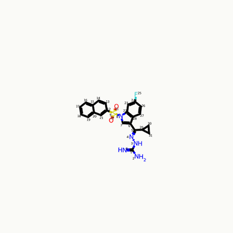 N=C(N)N/N=C(/c1cn(S(=O)(=O)c2ccc3ccccc3c2)c2cc(F)ccc12)C1CC1